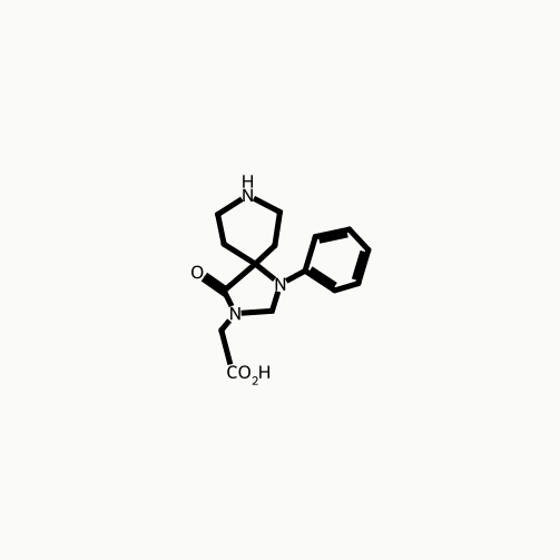 O=C(O)CN1CN(c2ccccc2)C2(CCNCC2)C1=O